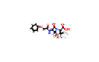 CC1(C)[C@H](C(=O)O)N2C(=O)[C@@H](NC(=O)COc3ccccc3)[C@H]2S1(=O)=O